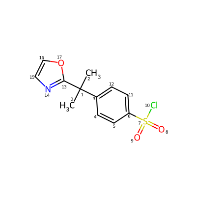 CC(C)(c1ccc(S(=O)(=O)Cl)cc1)c1ncco1